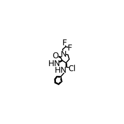 N=C1C(=O)N(CC(F)F)CC/C1=C(\Cl)NCc1ccccc1